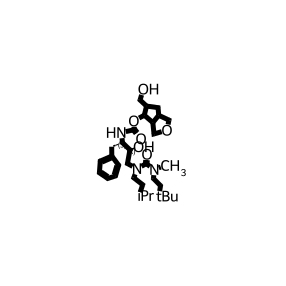 CC(C)CCN(C[C@@H](O)[C@H](Cc1ccccc1)NC(=O)OC1C(CO)CC2COCC21)C(=O)N(C)CCC(C)(C)C